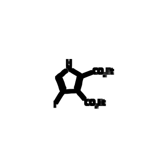 CCOC(=O)c1[nH]cc(I)c1C(=O)OCC